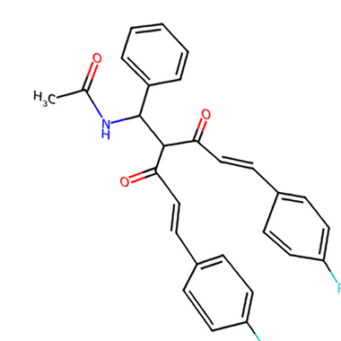 CC(=O)NC(c1ccccc1)C(C(=O)C=Cc1ccc(F)cc1)C(=O)/C=C/c1ccc(F)cc1